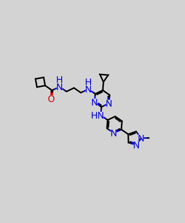 Cn1cc(-c2ccc(Nc3ncc(C4CC4)c(NCCCNC(=O)C4CCC4)n3)cn2)cn1